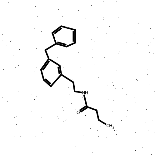 CCCC(=O)NCCc1cccc(Cc2ccccc2)c1